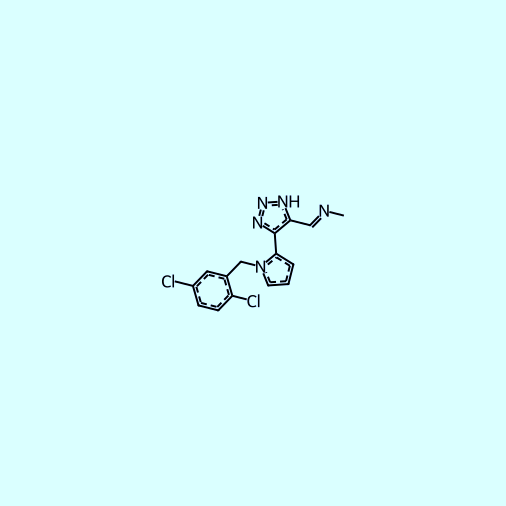 C/N=C/c1[nH]nnc1-c1cccn1Cc1cc(Cl)ccc1Cl